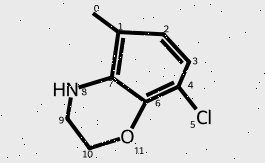 Cc1ccc(Cl)c2c1NCCO2